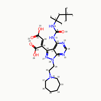 CC(C)(C)CC(C)(C)NC(=O)Nc1ncnc2c1c(/C(=C/C(=O)O)C(=O)O)nn2CCN1CCCCCC1